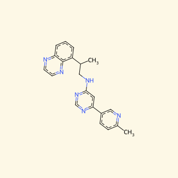 Cc1ccc(-c2cc(NCC(C)c3cccc4nccnc34)ncn2)cn1